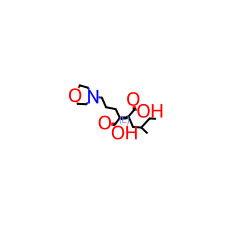 CCC(C)C/C(C(=O)O)=C(/CCCN1CCOCC1)C(=O)O